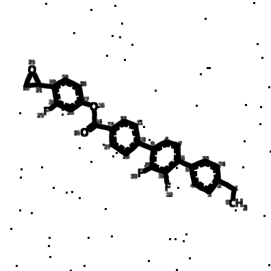 CCc1ccc(-c2ccc(-c3ccc(C(=O)Oc4ccc(C5CO5)c(F)c4)cc3)c(F)c2F)cc1